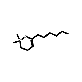 CCCCCCC1=CCC[Si](C)(C)O1